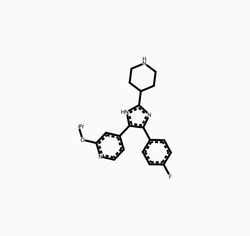 CC(C)Oc1cc(-c2[nH]c(C3CCNCC3)nc2-c2ccc(F)cc2)ccn1